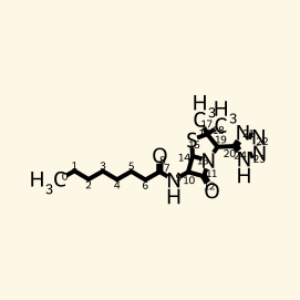 CCCCCCCC(=O)NC1C(=O)N2C1SC(C)(C)C2c1nnn[nH]1